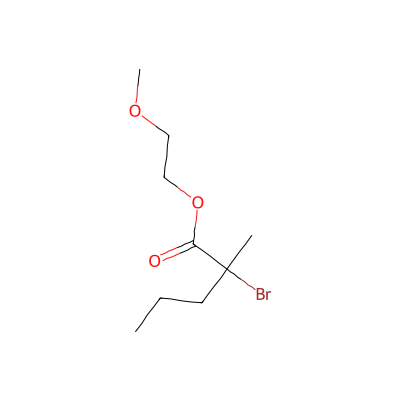 CCCC(C)(Br)C(=O)OCCOC